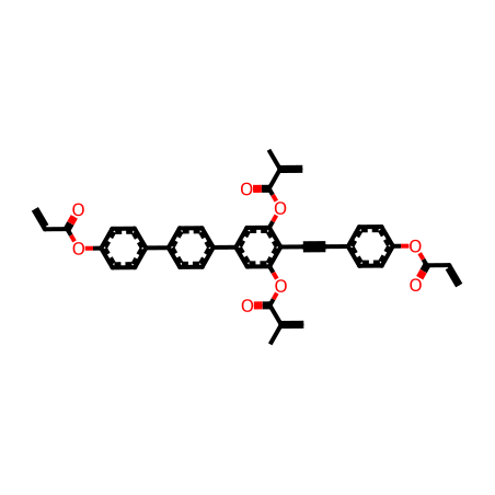 C=CC(=O)Oc1ccc(C#Cc2c(OC(=O)C(=C)C)cc(-c3ccc(-c4ccc(OC(=O)C=C)cc4)cc3)cc2OC(=O)C(=C)C)cc1